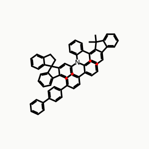 CC1(C)c2ccccc2-c2cccc(-c3ccccc3N(c3ccc4c(c3)C3(CCc5ccccc53)c3ccccc3-4)c3ccccc3-c3ccc(-c4ccc(-c5ccccc5)cc4)cc3)c21